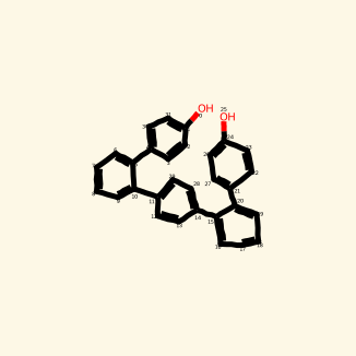 Oc1ccc(-c2ccccc2-c2ccc(-c3ccccc3-c3ccc(O)cc3)cc2)cc1